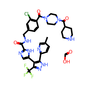 Cc1ccc(-c2[nH]nc(C(F)(F)F)c2-c2cnc(C(=O)NCc3ccc(C(=O)N4CCN(C(=O)C5CCNCC5)CC4)c(Cl)c3)[nH]2)nc1.O=CO